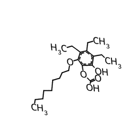 CCCCCCCCCOc1c(CC)c(CC)c(CC)c(O)c1OC(=O)O